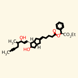 CC#CCC(C)[C@H](O)/C=C/[C@@H]1[C@H]2C/C(=C/CCCC(=O)O[C@H](C(=O)OCC)c3ccccc3)C[C@H]2C[C@H]1O